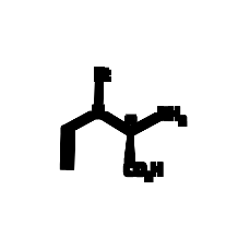 C=CN(CC)[C@@H](N)C(=O)O